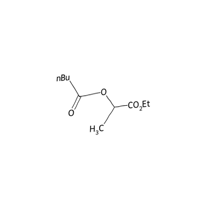 CCCCC(=O)OC(C)C(=O)OCC